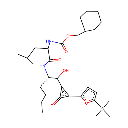 CCCC[C@H](NC(=O)C(CC(C)C)NC(=O)OCC1CCCCC1)C(O)c1c(-c2ccc([Si](C)(C)C)o2)c1=O